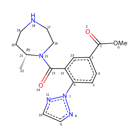 COC(=O)c1ccc(-n2nccn2)c(C(=O)N2CCNCC[C@H]2C)c1